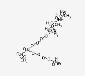 CCOC(C)(C)CCNC(=O)CCC(C)(C)OCC(C)(C)NC(=O)CCOCCOCCOCCOCCN(CCOCCOCCOCCOCCC(=O)NC(C)C)C(=O)CCN1C(=O)CC(C)C1=O